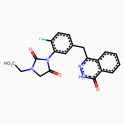 O=C(O)CN1CC(=O)N(c2cc(Cc3n[nH]c(=O)c4ccccc34)ccc2F)C1=O